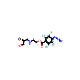 C=C(C=O)CNCCOC(=O)c1c(F)c(F)c(N=[N+]=[N-])c(F)c1F